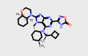 C[C@@H](Nc1nc(-c2noc(=O)[nH]2)nc2nc(N3CCO[C@@H]4CCCC[C@@H]43)n(C[C@H]3CC[C@H](C)CC3)c12)C1CCC1